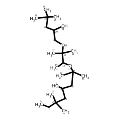 CCC(C)(C)CC(O)CC(C)(C)OC(C)C(C)(C)OCC(O)CC(C)(C)C